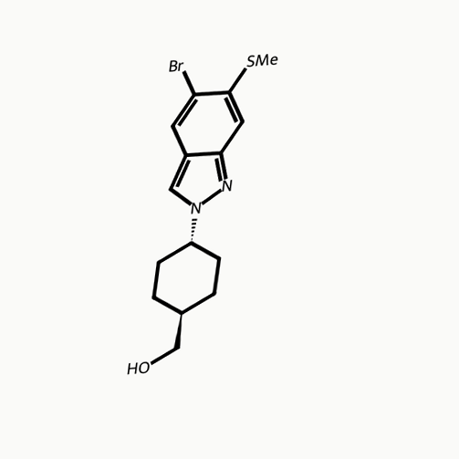 CSc1cc2nn([C@H]3CC[C@H](CO)CC3)cc2cc1Br